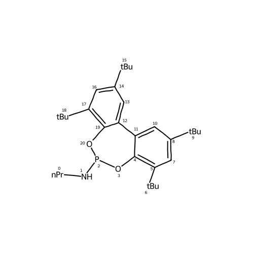 CCCNp1oc2c(C(C)(C)C)cc(C(C)(C)C)cc2c2cc(C(C)(C)C)cc(C(C)(C)C)c2o1